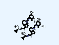 C=C1/C(=C\C=C2/CCC[C@]3(C)[C@@H]([C@H](C)/C=C/[C@@H](O)C4CC4)CC[C@@H]23)C[C@@H](O)C[C@@H]1O.C=C1/C(=C\C=C2/CCC[C@]3(C)[C@@H]([C@H](C)/C=C/[C@@H](O)C4CC4)CC[C@@H]23)C[C@@H](O)C[C@@H]1O